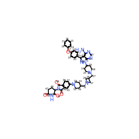 Nc1ncnc2c1c(-c1ccc(Oc3ccccc3)cc1)nn2C1CCN(CC2CN(CC3CCN(c4ccc5c(c4)C(=O)N(C4CCC(=O)NC4=O)C5=O)CC3)C2)CC1